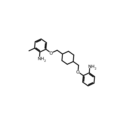 Cc1cccc(OCC2CCC(COc3ccccc3N)CC2)c1N